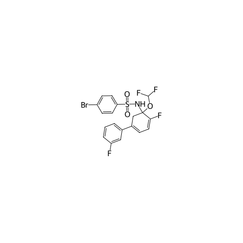 O=S(=O)(NC1(OC(F)F)CC(c2cccc(F)c2)=CC=C1F)c1ccc(Br)cc1